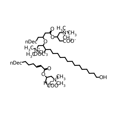 CCCCCCCCCCCC(CC(=O)OC(CC(=O)[O-])C[N+](C)(C)C)OC(C[N+](C)(C)C)C(CCCCCCCCCCCCCCO)C(=O)[O-].CCCCCCCCCCCCCC=CC(=O)OC(CC(=O)[O-])C[N+](C)(C)C